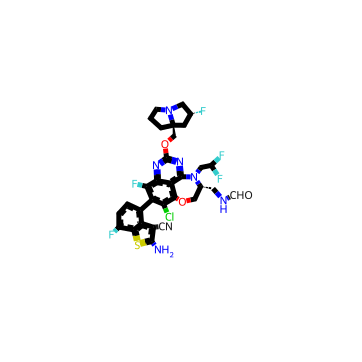 N#Cc1c(N)sc2c(F)ccc(-c3c(Cl)c4c5c(nc(OC[C@@]67CCCN6C[C@H](F)C7)nc5c3F)N(CC(F)F)[C@H](CNC=O)CO4)c12